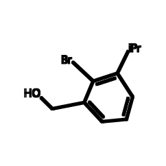 CC(C)c1cccc(CO)c1Br